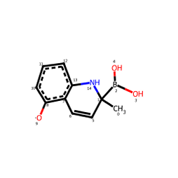 CC1(B(O)O)C=Cc2c([O])cccc2N1